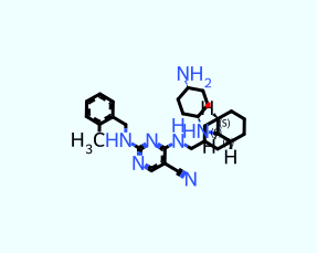 Cc1ccccc1CNc1ncc(C#N)c(NCC2C[C@H]3CCC[C@@H](C2)[C@@H]3N[C@H]2CC[C@@H](N)CC2)n1